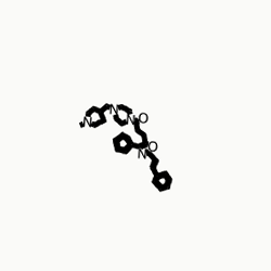 CN1CCC(CN2CCN(C(=O)CCc3oc(C=Cc4ccccc4)nc3-c3ccccc3)CC2)CC1